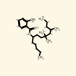 CCCCCC(CCC(C)(C)CC(C)CCC)OC(=O)c1ccccc1O